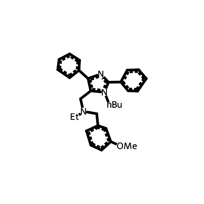 CCCCn1c(-c2ccccc2)nc(-c2ccccc2)c1CN(CC)Cc1cccc(OC)c1